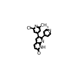 Cc1cc(-c2cc3ccc(=O)[nH]c3nc2-c2ccncc2)cc(Cl)n1